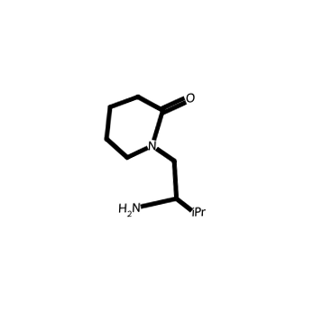 CC(C)C(N)CN1CCCCC1=O